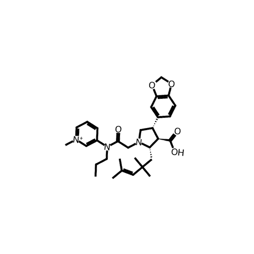 CCCN(C(=O)CN1C[C@H](c2ccc3c(c2)OCO3)[C@@H](C(=O)O)[C@@H]1CC(C)(C)C=C(C)C)c1ccc[n+](C)c1